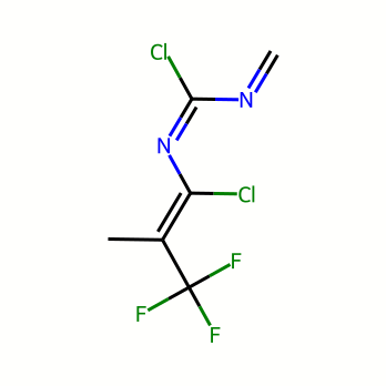 C=N/C(Cl)=N\C(Cl)=C(/C)C(F)(F)F